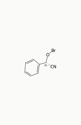 N#C[C@@H](OBr)c1ccccc1